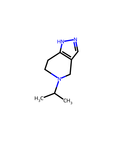 CC(C)N1CCc2[nH]ncc2C1